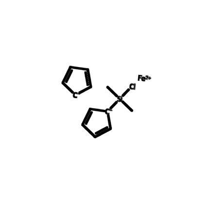 C[Si](C)(Cl)[c-]1cccc1.[Fe+2].c1cc[cH-]c1